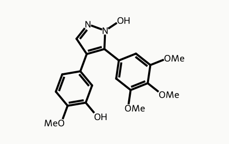 COc1ccc(-c2cnn(O)c2-c2cc(OC)c(OC)c(OC)c2)cc1O